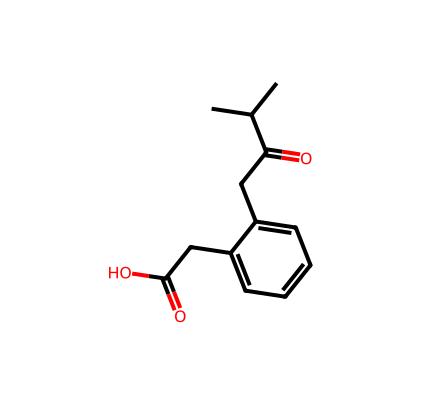 CC(C)C(=O)Cc1ccccc1CC(=O)O